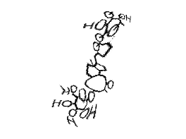 COC1C(O)C(C)OC(OC2OC(CC3CCC4/C5=C/C(=O)C(C)C[C@@H](OC6OC(CO)C(O)C(O)C6O)CCCC5CC[C@]34C)CC[C@H]2C)C1O